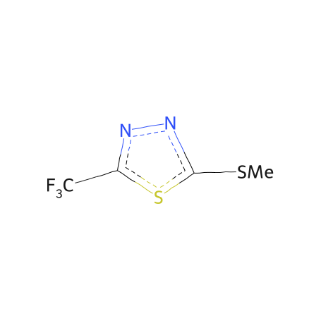 CSc1nnc(C(F)(F)F)s1